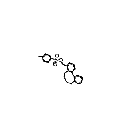 Cc1ccc(S(=O)(=O)OCc2cccc3c2CCCCc2ccccc2-3)cc1